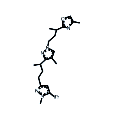 Cc1coc(C(C)CCn2cc(C)c(C(C)CCc3cc(C(C)C)n(C)n3)n2)n1